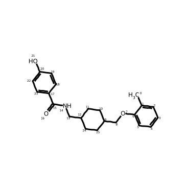 Cc1ccccc1OCC1CCC(CNC(=O)c2ccc(O)cc2)CC1